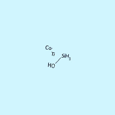 O[SiH3].[Co].[Ti]